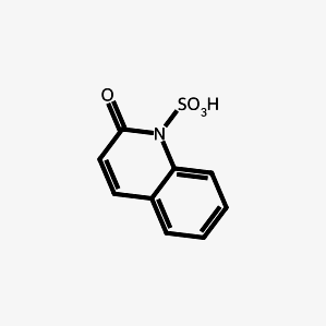 O=c1ccc2ccccc2n1S(=O)(=O)O